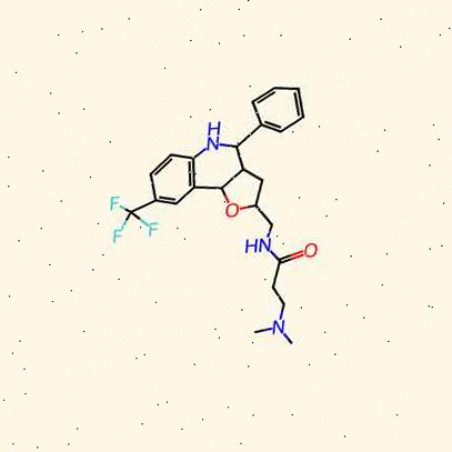 CN(C)CCC(=O)NCC1CC2C(c3ccccc3)Nc3ccc(C(F)(F)F)cc3C2O1